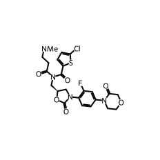 CNCCC(=O)N(C[C@H]1CN(c2ccc(N3CCOCC3=O)cc2F)C(=O)O1)C(=O)c1ccc(Cl)s1